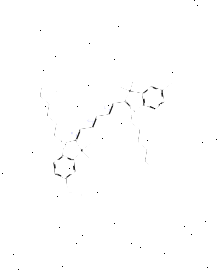 Cc1ccc2c(c1)C(C)(C)C(/C=C/C=C/C=C1/N(CCCCCC(=O)O)c3ccc(S(=O)(=O)O)cc3C1(C)C)=[N+]2CCCCCC(=O)O